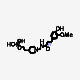 COc1cc(/C=C/C(=O)NCN2CCC(CCON(O)O)CC2)ccc1O